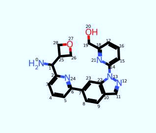 NC(c1cccc(-c2ccc3cnn(-c4cccc(CO)n4)c3c2)n1)C1COC1